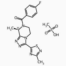 CS(=O)(=O)O.Cc1nsc(-c2nnc3n2CCN(C(=O)c2ccc(F)cc2)[C@@H]3C)n1